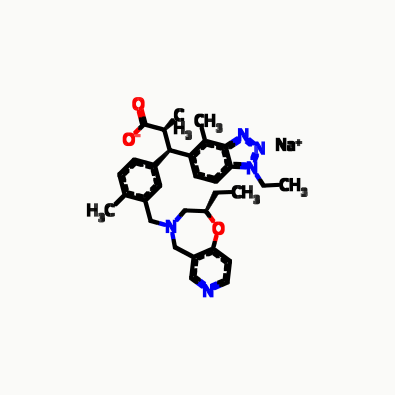 CC[C@@H]1CN(Cc2cc([C@H](c3ccc4c(nnn4CC)c3C)[C@H](C)C(=O)[O-])ccc2C)Cc2cnccc2O1.[Na+]